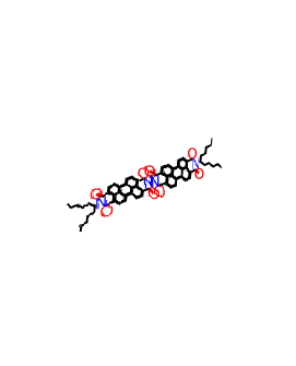 CCCCCC(CCCCC)N1C(=O)c2ccc3c4ccc5c6c(ccc(c7ccc(c2c37)C1=O)c64)C(=O)N(N1C(=O)c2ccc3c4ccc6c7c(ccc(c8ccc(c2c38)C1=O)c74)C(=O)N(C(CCCCC)CCCCC)C6=O)C5=O